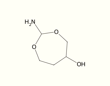 NC1OCCC(O)CO1